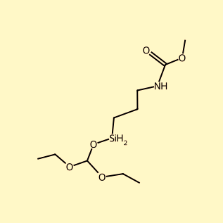 CCOC(OCC)O[SiH2]CCCNC(=O)OC